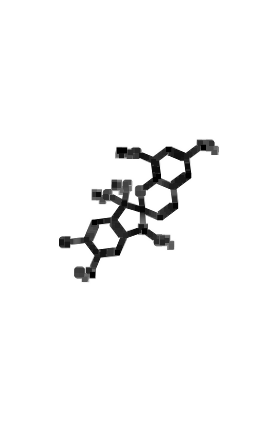 COc1cc([N+](=O)[O-])cc2c1OC1(C=C2)N(C)c2cc([N+](=O)[O-])c(Cl)cc2C1(C)C